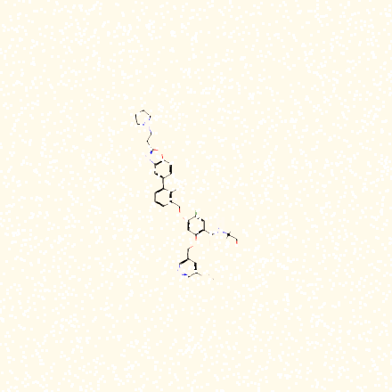 Cc1c(COc2cc(OCc3cncc(C#N)c3)c(CNC(C)(CO)C(=O)O)cc2Cl)cccc1-c1ccc2oc(CCN3CCCC3)nc2c1